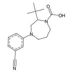 CC(C)(C)C1CN(c2cccc(C#N)c2)CCCN1C(=O)O